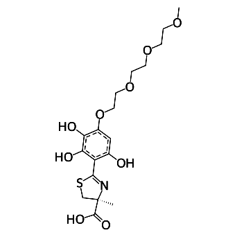 COCCOCCOCCOc1cc(O)c(C2=N[C@@](C)(C(=O)O)CS2)c(O)c1O